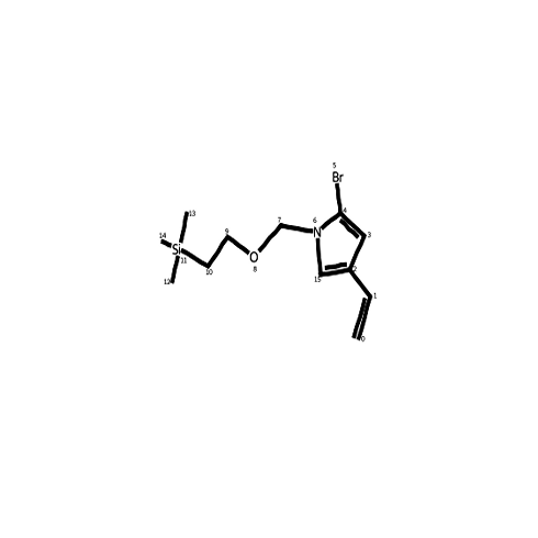 C=Cc1cc(Br)n(COCC[Si](C)(C)C)c1